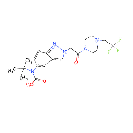 CC(C)(C)N(C(=O)O)c1ccc2nn(CC(=O)N3CCN(CC(F)(F)F)CC3)cc2c1